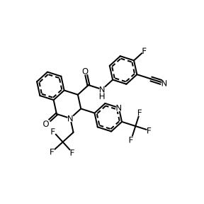 N#Cc1cc(NC(=O)C2c3ccccc3C(=O)N(CC(F)(F)F)C2c2ccc(C(F)(F)F)nc2)ccc1F